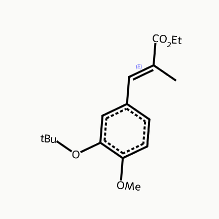 CCOC(=O)/C(C)=C/c1ccc(OC)c(OC(C)(C)C)c1